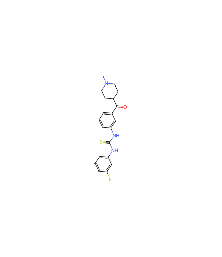 CN1CCC(C(=O)c2cccc(NC(=S)Nc3cccc(F)c3)c2)CC1